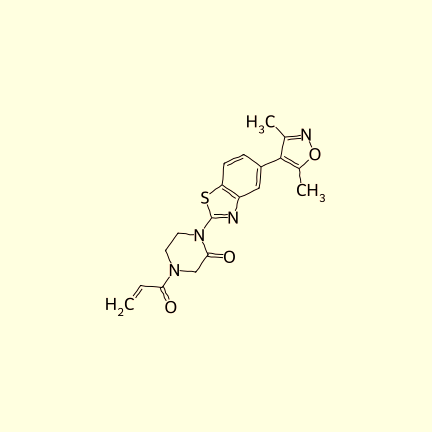 C=CC(=O)N1CCN(c2nc3cc(-c4c(C)noc4C)ccc3s2)C(=O)C1